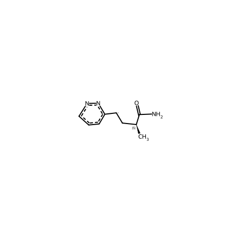 C[C@@H](C[CH]c1cccnn1)C(N)=O